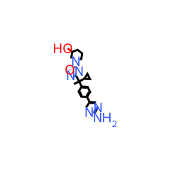 CC(c1ccc(-c2cnc(N)nc2)cc1)(c1noc(N2CCCC(O)C2)n1)C1CC1